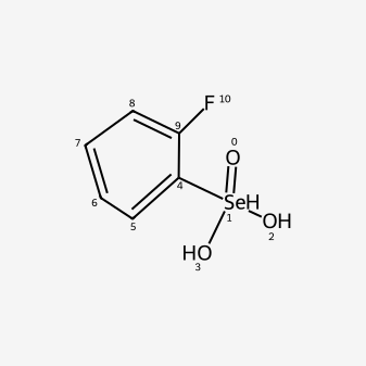 O=[SeH](O)(O)c1ccccc1F